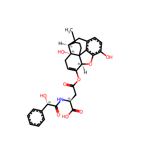 CC1CCC23c4c5ccc(O)c4O[C@H]2C(OC(=O)C[C@H](NC(=O)[C@@H](O)c2ccccc2)C(=O)O)=CC[C@@]3(O)[C@H]1C5